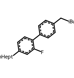 CCCCCCCc1ccc(-c2ccc(CC(C)CC)cc2)c(F)c1